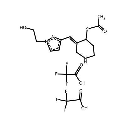 CC(=O)SC1CCNC/C1=C\c1ccn(CCO)n1.O=C(O)C(F)(F)F.O=C(O)C(F)(F)F